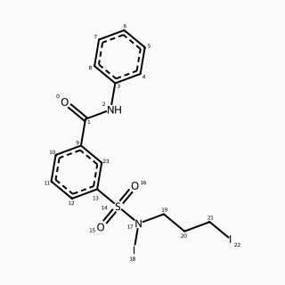 O=C(Nc1ccccc1)c1cccc(S(=O)(=O)N(I)CCCI)c1